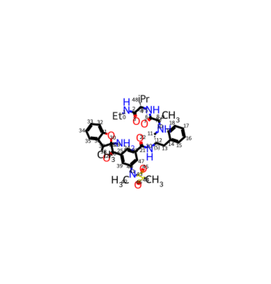 CCNC(=O)[C@@H](NC(=O)[C@H](C)NC[C@H](Cc1ccccc1)NC(=O)c1cc(C(=O)C2(N)Oc3ccccc3C2C)cc(N(C)S(C)(=O)=O)c1)C(C)C